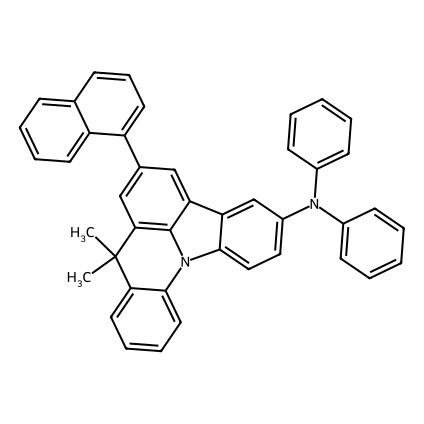 CC1(C)c2ccccc2-n2c3ccc(N(c4ccccc4)c4ccccc4)cc3c3cc(-c4cccc5ccccc45)cc1c32